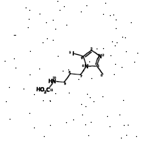 Cc1ncc(I)n1CCCNC(=O)O